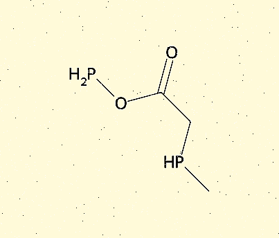 CPCC(=O)OP